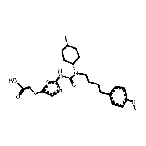 COc1ccc(CCCCN(C(=O)Nc2ncc(SCC(=O)O)s2)[C@H]2CC[C@H](C)CC2)cc1